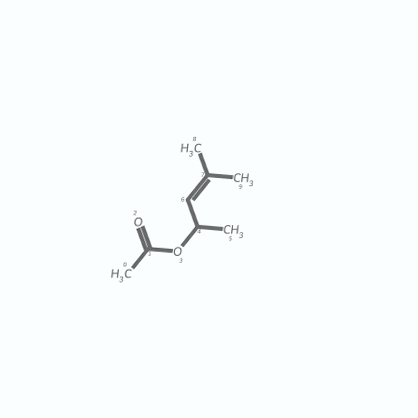 CC(=O)OC(C)C=C(C)C